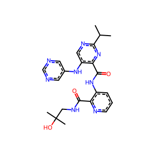 CC(C)c1ncc(Nc2cncnc2)c(C(=O)Nc2cccnc2C(=O)NCC(C)(C)O)n1